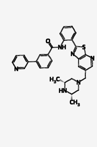 C[C@@H]1CN(Cc2cnc3sc(-c4ccccc4NC(=O)c4cccc(-c5cccnc5)c4)nc3c2)C[C@H](C)N1